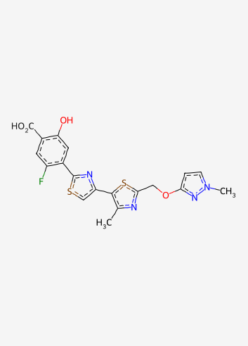 Cc1nc(COc2ccn(C)n2)sc1-c1csc(-c2cc(O)c(C(=O)O)cc2F)n1